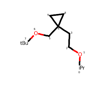 CC(C)OCCC1(COC(C)(C)C)CC1